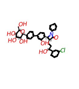 O=C1[C@H](CC[C@H](O)c2cccc(Cl)c2)[C@@H](c2ccc(-c3ccc([C@@H]4O[C@H](CO)[C@@H](O)[C@H](O)[C@H]4O)cc3)cc2O)N1c1ccccc1